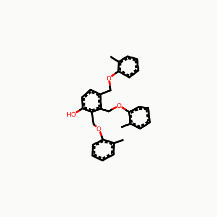 Cc1ccccc1OCc1ccc(O)c(COc2ccccc2C)c1COc1ccccc1C